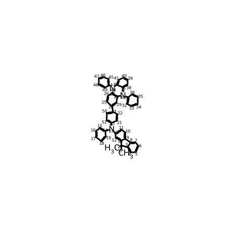 CC1(C)c2ccccc2-c2ccc(N(c3ccccc3)c3ccc(-c4ccc5c(c4)N(c4ccccc4)c4ccccc4N5c4ccccc4)cc3)cc21